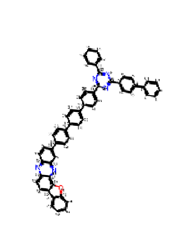 c1ccc(-c2ccc(-c3nc(-c4ccccc4)nc(-c4ccc(-c5ccc(-c6ccc(-c7ccc8nc9ccc%10c%11ccccc%11oc%10c9nc8c7)cc6)cc5)cc4)n3)cc2)cc1